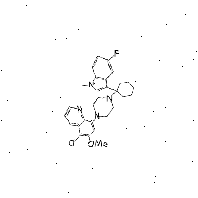 COc1cc(N2CCN(C3(c4cn(C)c5ccc(F)cc45)CCCCC3)CC2)c2ncccc2c1Cl